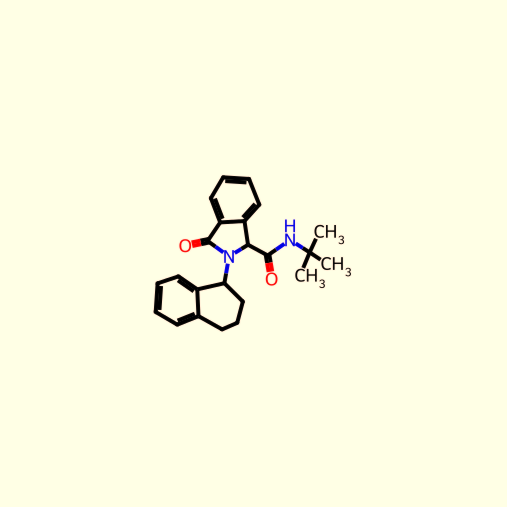 CC(C)(C)NC(=O)C1c2ccccc2C(=O)N1C1CCCc2ccccc21